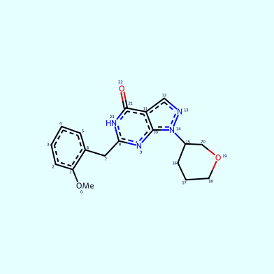 COc1ccccc1Cc1nc2c(cnn2C2CCCOC2)c(=O)[nH]1